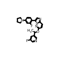 CC(Oc1ccc2ncc(-c3ccc(N4CCCC4)cc3F)n2n1)c1cncc(F)c1